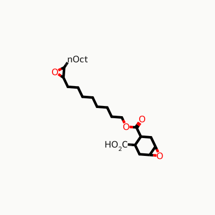 CCCCCCCCC1OC1CCCCCCCCOC(=O)C1CC2OC2CC1C(=O)O